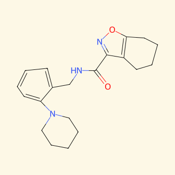 O=C(NCc1ccccc1N1CCCCC1)c1noc2c1CCCC2